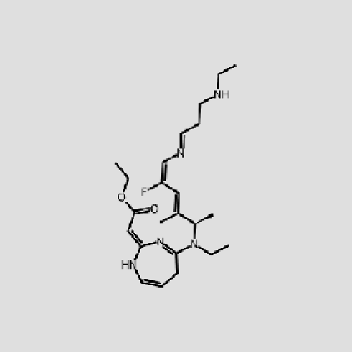 CCNCC/C=N/C=C(F)\C=C(/C)[C@@H](C)N(CC)C1=N/C(=C\C(=O)OCC)NC=CC1